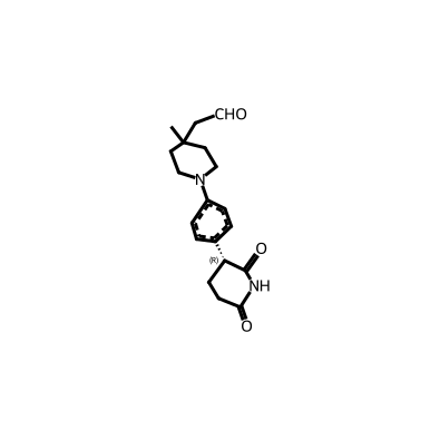 CC1(CC=O)CCN(c2ccc([C@H]3CCC(=O)NC3=O)cc2)CC1